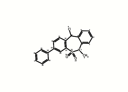 CN1c2ccccc2C(Cl)c2ccc(-c3ccccc3)cc2S1(=O)=O